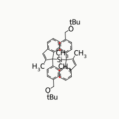 CC1=Cc2ccccc2C1(c1ccc(COC(C)(C)C)cc1)[Si](C)(C)C1(c2ccc(COC(C)(C)C)cc2)C(C)=Cc2ccccc21